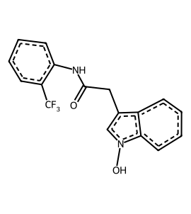 O=C(Cc1cn(O)c2ccccc12)Nc1ccccc1C(F)(F)F